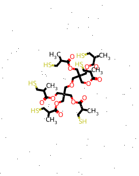 CC(CS)C(=O)OCC(COCC(COC(=O)C(C)CS)(COC(=O)C(C)CS)COC(=O)C(C)CS)(COC(=O)C(C)CS)COC(=O)C(C)CS